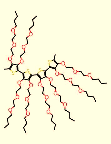 CCCCOCCOCCOc1c(C)sc(-c2sc(-c3sc(-c4sc(C)c(OCCOCCOCCCC)c4OCCOCCOCCCC)c(OCCOCCOCCCC)c3OCCOCCOCCCC)c(OCCOCCOCCCC)c2OCCOCCOCCCC)c1OCCOCCOCCCC